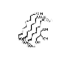 CCCCCCCCC=CCCCCCC(=O)O.CCCCCCCCC=CCCCCCC(=O)O.CCCCCCCCC=CCCCCCC(=O)O.OCC(O)CO